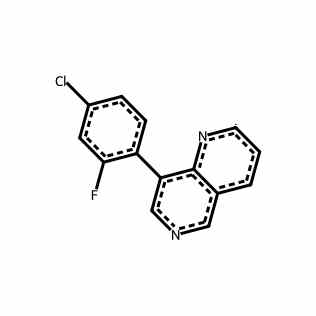 Fc1cc(Cl)ccc1-c1cncc2cc[c]nc12